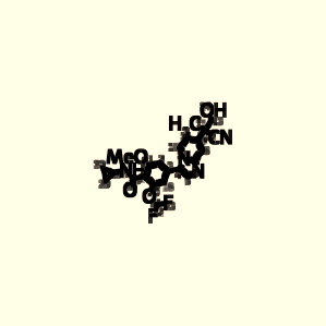 COc1cc(-c2cnc3cc(C(C)(C#N)CO)ccn23)cc(OC(F)F)c1C(=O)NC1CC1